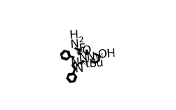 CC(C)(C)[C@H](c1nc(-c2ccccc2)cn1Cc1ccccc1)N(C[C@H](F)CN)C(=O)N1CCC[C@@H](O)C1